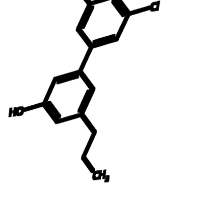 CCCc1cc(O)cc(-c2cc(Cl)cc(Cl)c2)c1